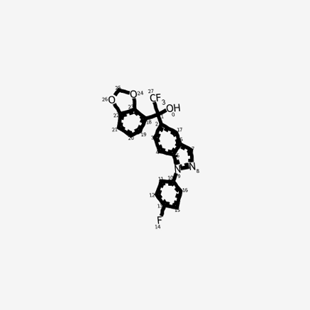 OC(c1ccc2c(cnn2-c2ccc(F)cc2)c1)(c1cccc2c1OCO2)C(F)(F)F